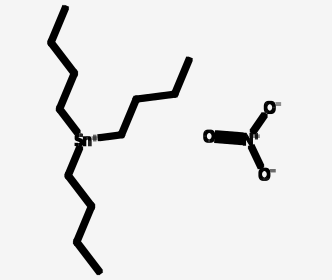 CCC[CH2][Sn+]([CH2]CCC)[CH2]CCC.O=[N+]([O-])[O-]